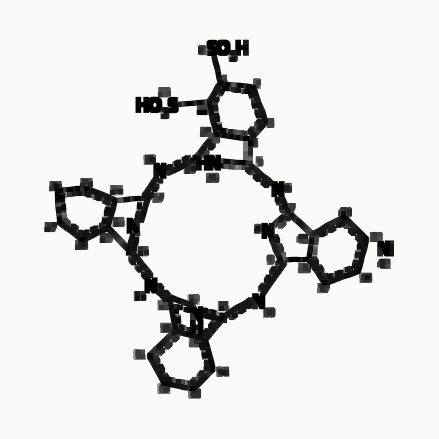 O=S(=O)(O)c1ccc2c3nc4nc(nc5[nH]c(nc6nc(nc([nH]3)c2c1S(=O)(=O)O)-c1ccccc1-6)c1ccccc51)-c1ccccc1-4.[Ni]